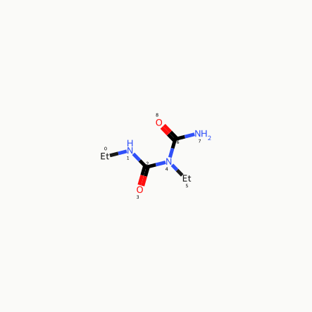 CCNC(=O)N(CC)C(N)=O